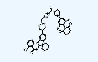 O=C([C@@H]1CCN(c2cc(F)c(N3C(=O)CCCC3=O)c(F)c2)C1)N1CC(CN2CCC(c3ccc4c(c3)-n3c(nc(=O)c5c(Cl)cccc53)C43CCCCC3)CC2)C1